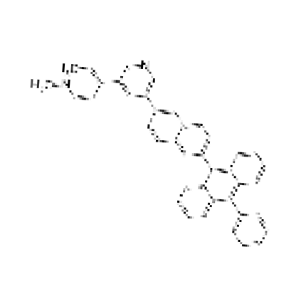 C=N/C=C\C(=C/C)c1cncc(-c2ccc3cc(-c4c5ccccc5c(-c5ccccc5)c5ccccc45)ccc3c2)c1